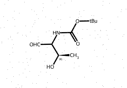 C[C@@H](O)C(C=O)NC(=O)OC(C)(C)C